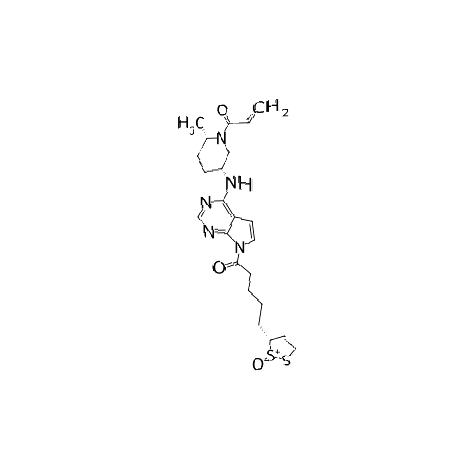 C=CC(=O)N1C[C@H](Nc2ncnc3c2ccn3C(=O)CCCC[C@@H]2CCS[S+]2[O-])CC[C@@H]1C